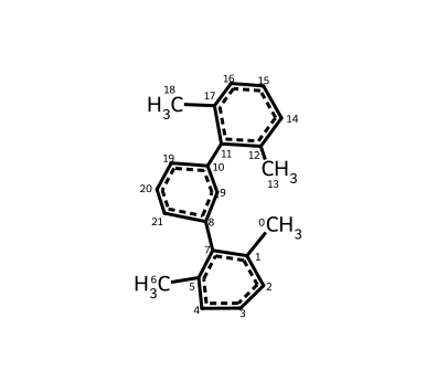 Cc1cccc(C)c1-c1[c]c(-c2c(C)cccc2C)ccc1